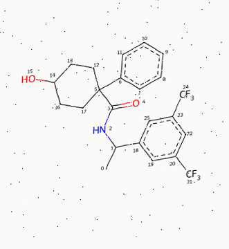 CC(NC(=O)C1(c2ccccc2)CCC(O)CC1)c1cc(C(F)(F)F)cc(C(F)(F)F)c1